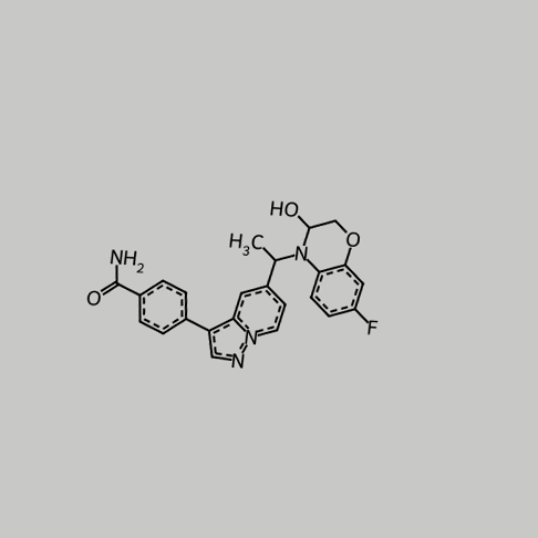 CC(c1ccn2ncc(-c3ccc(C(N)=O)cc3)c2c1)N1c2ccc(F)cc2OCC1O